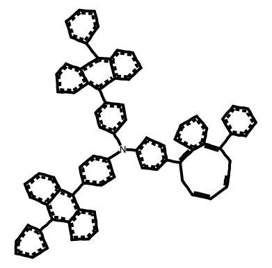 C1=C\C/C(c2ccccc2)=c2/cccc/c2=C(\c2ccc(N(c3ccc(-c4c5ccccc5c(-c5ccccc5)c5ccccc45)cc3)c3ccc(-c4c5ccccc5c(-c5ccccc5)c5ccccc45)cc3)cc2)C\C=C/1